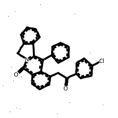 O=C(Cc1cccc2c(=O)n3c(c(-c4ccccc4)c12)-c1ccccc1C3)c1ccc(Cl)cc1